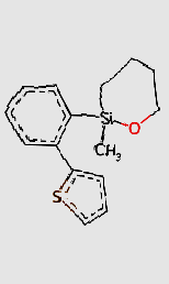 C[Si]1(c2ccccc2-c2cccs2)CCCCO1